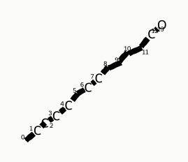 C=C=C=C=C=C=C=C=C=C=C=C=C=O